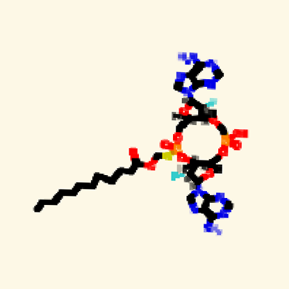 CCCCCCCCCCCC(=O)OCSP1(=O)OC[C@H]2O[C@@H](n3cnc4c(N)ncnc43)[C@H](F)[C@@H]2OCP(=O)(O)OC[C@H]2O[C@@H](n3cnc4c(N)ncnc43)[C@H](F)[C@@H]2O1